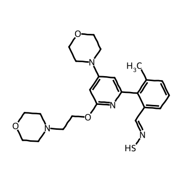 Cc1cccc(C=NS)c1-c1cc(N2CCOCC2)cc(OCCN2CCOCC2)n1